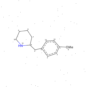 COc1ccc(CC2CCCCN2)cc1